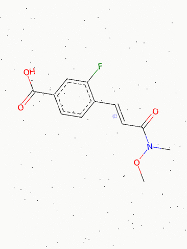 CON(C)C(=O)/C=C/c1ccc(C(=O)O)cc1F